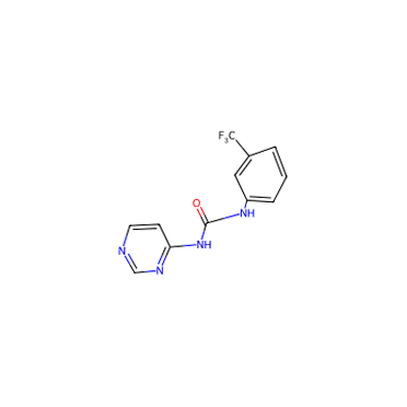 O=C(Nc1cccc(C(F)(F)F)c1)Nc1ccncn1